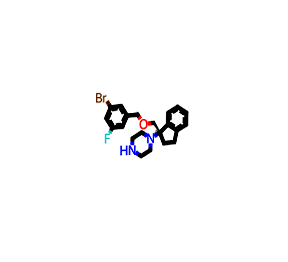 Fc1cc(Br)cc(COC[C@]2(N3CCNCC3)CCc3ccccc32)c1